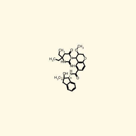 CCC1(CC)CC(=O)N(C2c3cc(C(=O)N[C@@H]4c5ccccc5C[C@@]4(C)O)ccc3OCC2OC)C(=N)N1